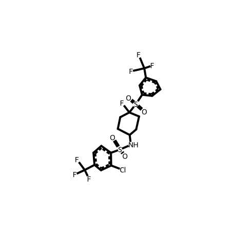 O=S(=O)(NC1CCC(F)(S(=O)(=O)c2cccc(C(F)(F)F)c2)CC1)c1ccc(C(F)(F)F)cc1Cl